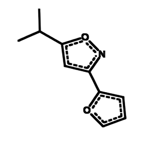 CC(C)c1cc(-c2ccco2)no1